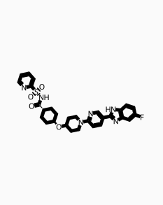 O=C(NS(=O)(=O)c1ccccn1)[C@H]1CC[C@H](OC2CCN(c3ccc(-c4nc5cc(F)ccc5[nH]4)cn3)CC2)CC1